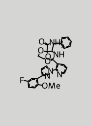 COc1ccc(F)cc1-c1ccn(-c2ncccc2C(=O)NC(Cc2ccccc2)C2(C(N)=O)OCCO2)n1